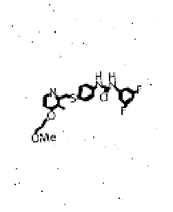 COCCCOc1ccnc(CSc2ccc(NC(=O)Nc3cc(F)cc(F)c3)cc2)c1C